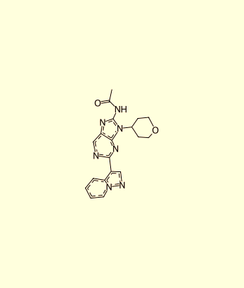 CC(=O)Nc1nc2cnc(-c3cnn4ccccc34)nc2n1C1CCOCC1